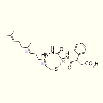 CC(C)=CCC/C(C)=C/CC/C1=C/CSC[C@H](NC(=O)C(CC(=O)O)c2ccccc2)C(=O)NN1